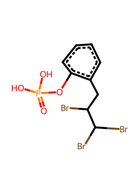 O=P(O)(O)Oc1ccccc1CC(Br)C(Br)Br